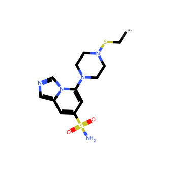 CC(C)CSN1CCN(c2cc(S(N)(=O)=O)cc3cncn23)CC1